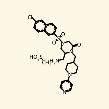 CS(=O)(=O)O.NCC1CN(S(=O)(=O)c2ccc3cc(Cl)ccc3c2)CC(=O)N1CC1CCN(c2ccncc2)CC1